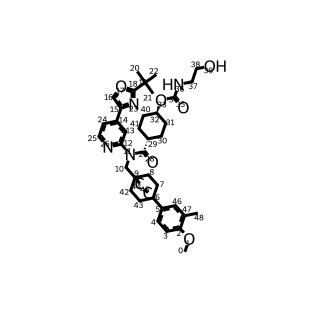 COc1ccc(C23CCC(CN(c4cc(-c5coc(C(C)(C)C)n5)ccn4)C(=O)[C@H]4CC[C@H](OC(=O)NCCO)CC4)(CC2)CC3)cc1C